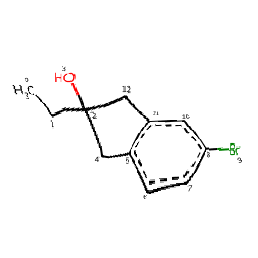 CCC1(O)Cc2ccc(Br)cc2C1